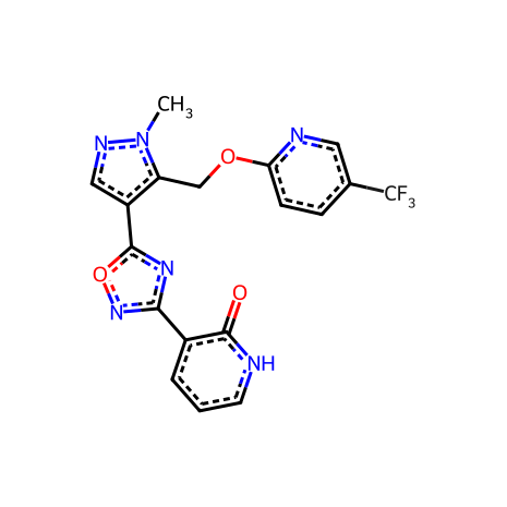 Cn1ncc(-c2nc(-c3ccc[nH]c3=O)no2)c1COc1ccc(C(F)(F)F)cn1